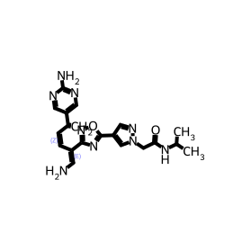 C=C(/C=C\C(=C/N)c1noc(-c2cnn(CC(=O)NC(C)C)c2)n1)c1cnc(N)nc1